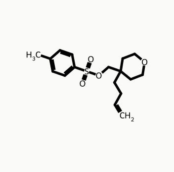 C=CCCC1(COS(=O)(=O)c2ccc(C)cc2)CCOCC1